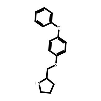 c1ccc(Oc2ccc(SCC3CCCN3)cc2)cc1